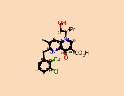 Cc1cc2c(nc1Cc1cccc(Cl)c1F)c(=O)c(C(=O)O)cn2[C@H](CO)C(C)C